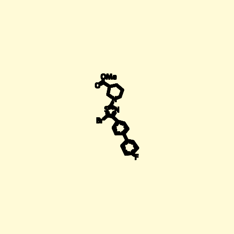 COC(=O)C1CCCN(c2nc(-c3ccc(-c4ccc(F)cc4)cc3)c(Br)s2)C1